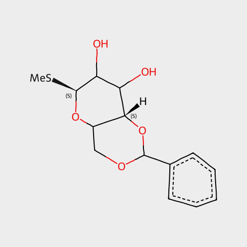 CS[C@@H]1OC2COC(c3ccccc3)O[C@H]2C(O)C1O